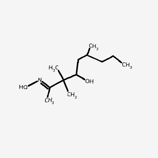 CCCC(C)CC(O)C(C)(C)/C(C)=N/O